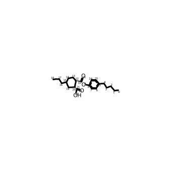 CCCCCc1ccc(OC(=O)[C@@H]2CCC(CCC)C[C@H]2C(=O)O)cc1